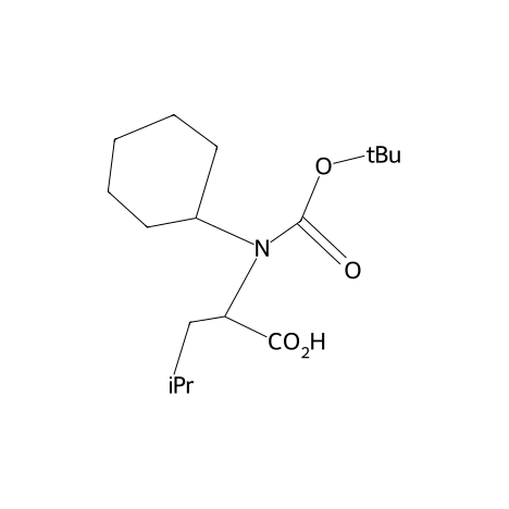 CC(C)CC(C(=O)O)N(C(=O)OC(C)(C)C)C1CCCCC1